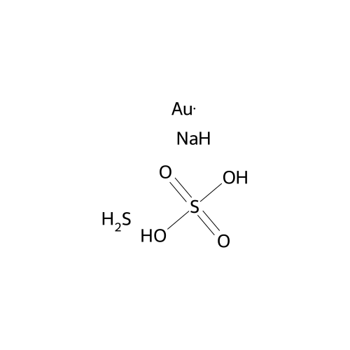 O=S(=O)(O)O.S.[Au].[NaH]